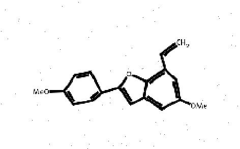 C=Cc1cc(OC)cc2cc(-c3ccc(OC)cc3)oc12